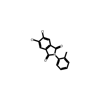 [CH2]c1ccccc1N1C(=O)c2cc(Cl)c(Cl)cc2C1=O